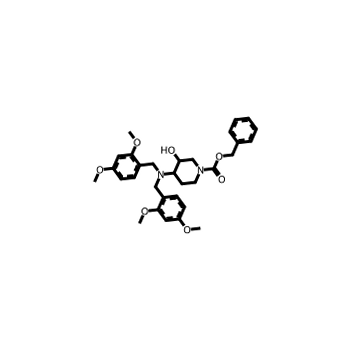 COc1ccc(CN(Cc2ccc(OC)cc2OC)C2CCN(C(=O)OCc3ccccc3)CC2O)c(OC)c1